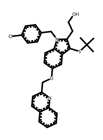 CC(C)(C)Sc1c(CCO)n(Cc2ccc(Cl)cc2)c2ccc(OCc3ccc4ccccc4n3)cc12